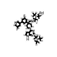 CC(C)(C)P(C(C)(C)C)C(C)(C)C.CC(C)(C)P(C(C)(C)C)C(C)(C)C.NCC1(c2cc(F)cc(-c3cncc(F)c3)c2)CCN(c2ncnc3[nH]ccc23)CC1.[Pd]